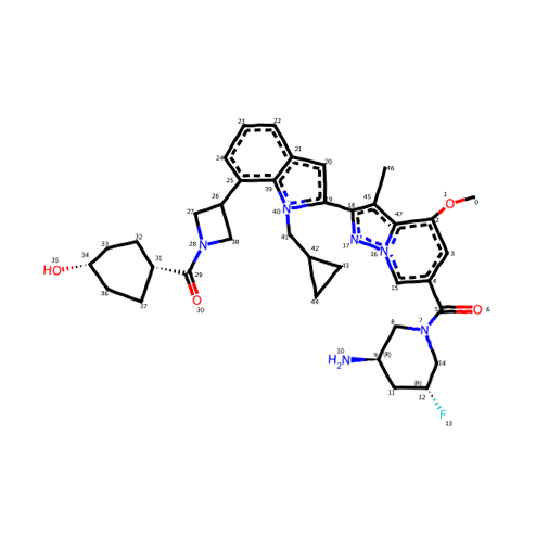 COc1cc(C(=O)N2C[C@H](N)C[C@@H](F)C2)cn2nc(-c3cc4cccc(C5CN(C(=O)[C@H]6CC[C@@H](O)CC6)C5)c4n3CC3CC3)c(C)c12